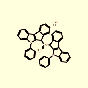 [CH2]=[Zr+2]([CH]1c2ccccc2-c2c1n(-c1ccccc1)c1ccccc21)[CH]1c2ccccc2-c2c1n(-c1ccccc1)c1ccccc21.[Cl-].[Cl-]